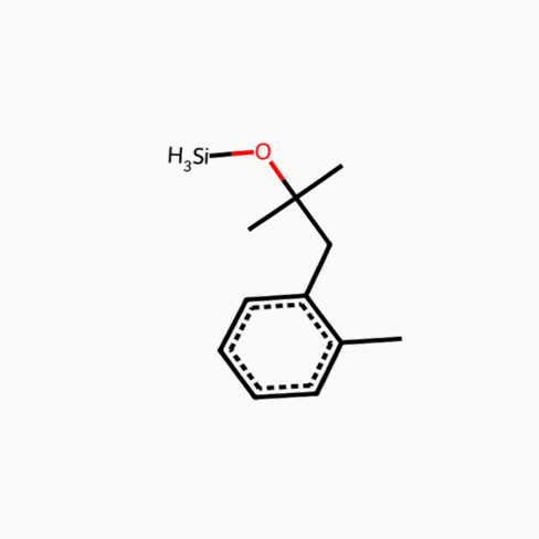 Cc1ccccc1CC(C)(C)O[SiH3]